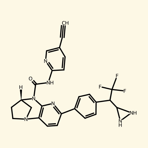 C#Cc1ccc(NC(=O)N2c3nc(-c4ccc(C(C5NN5)C(F)(F)F)cc4)ccc3N3CC[C@H]2C3)nc1